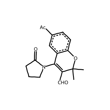 CC(=O)c1ccc2c(c1)C(N1CCCC1=O)=C(C=O)C(C)(C)O2